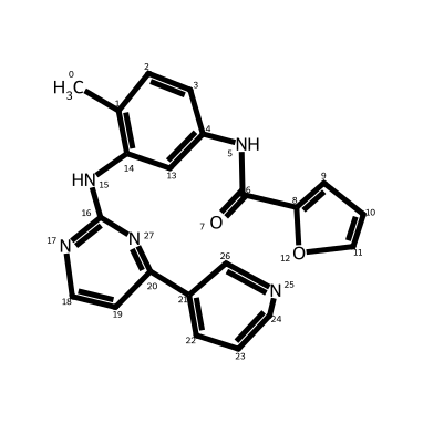 Cc1ccc(NC(=O)c2ccco2)cc1Nc1nccc(-c2cccnc2)n1